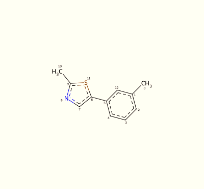 Cc1cccc(-c2cnc(C)s2)c1